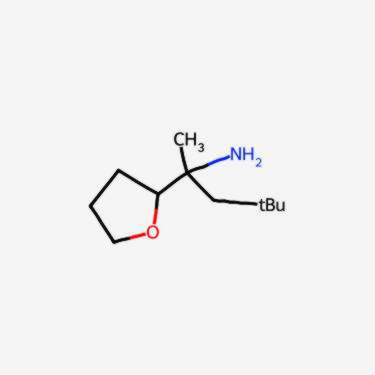 CC(C)(C)CC(C)(N)C1CCCO1